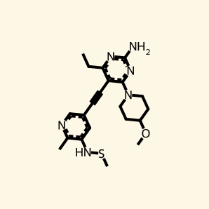 CCc1nc(N)nc(N2CCC(OC)CC2)c1C#Cc1cnc(C)c(NSC)c1